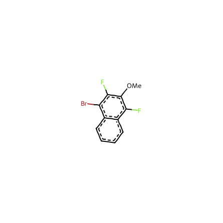 COc1c(F)c(Br)c2ccccc2c1F